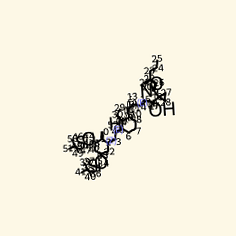 C=C1/C(=C\C=C2/CCC[C@]3(C)[C@@H]([C@H](C)/C=C/[C@H](O)C4(c5ncc(CCC)o5)CC4)CC[C@@H]23)C[C@@H](O[Si](C)(C)C(C)(C)C)C[C@@H]1O[Si](C)(C)C(C)(C)C